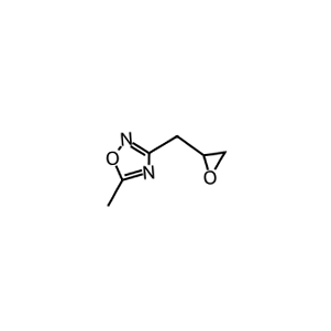 Cc1nc(CC2CO2)no1